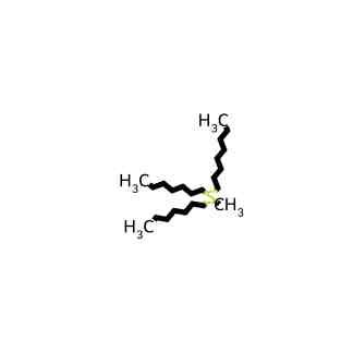 CCCCCCCCS(C)(CCCCCCC)CCCCCCC